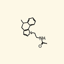 CC(=O)NCCn1ccc2c1-c1ccccc1C(C)C2